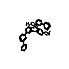 CC1(n2c3ccc(-c4cccc(-c5ccccc5)c4)cc3c3ccc(C#N)cc32)C=C(c2ccccc2)C=CC1